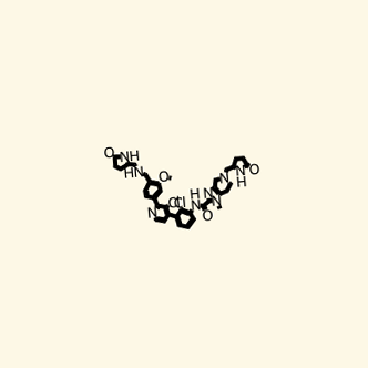 COc1cc(-c2nccc(-c3cccc(NC(=O)c4nc5c(n4C)CCN(CC4CCC(=O)N4)C5)c3Cl)c2Cl)ccc1CNCC1CCC(=O)N1